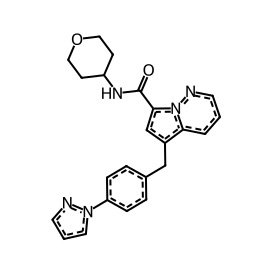 O=C(NC1CCOCC1)c1cc(Cc2ccc(-n3cccn3)cc2)c2cccnn12